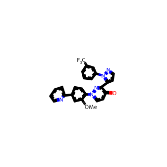 COc1cc(-c2ccccn2)ccc1-n1ccc(=O)c(-c2ccnn2-c2cccc(C(F)(F)F)c2)n1